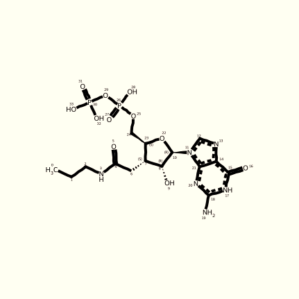 CCCNC(=O)C[C@H]1[C@@H](O)[C@H](n2cnc3c(=O)[nH]c(N)nc32)O[C@@H]1COP(=O)(O)OP(=O)(O)O